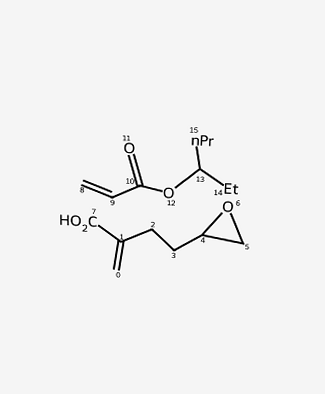 C=C(CCC1CO1)C(=O)O.C=CC(=O)OC(CC)CCC